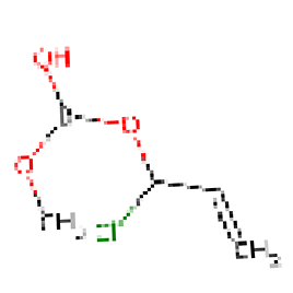 C=CC(Cl)OB(O)OC